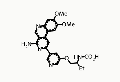 CC[C@@H](COc1cncc(-c2cc3c(cnc4cc(OC)c(OC)cc43)c(N)n2)c1)NC(=O)O